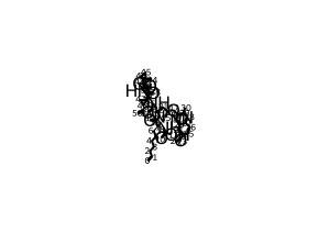 C=CCCCCC[C@H](NC(=O)O)C(=O)N1C[C@H](Oc2nc3cc(OC)ccc3nc2C)C[C@H]1C(=O)N[C@]1(C(=O)NS(=O)(=O)C2(C)CC2)C[C@H]1C=C